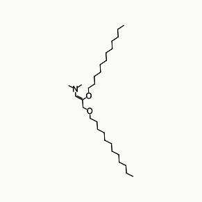 CCCCCCCCCCCCOCC(=CN(C)C)OCCCCCCCCCCCC